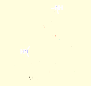 COC(=O)C1=C(CF)NC(C)=C(C(=O)OC2CNC2)C1c1c(F)ccc(Cl)c1C(F)(F)F